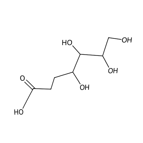 O=C(O)CCC(O)C(O)C(O)CO